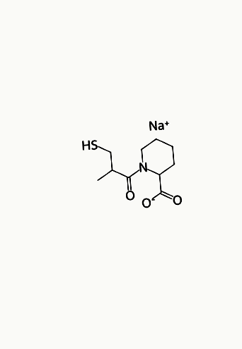 CC(CS)C(=O)N1CCCCC1C(=O)[O-].[Na+]